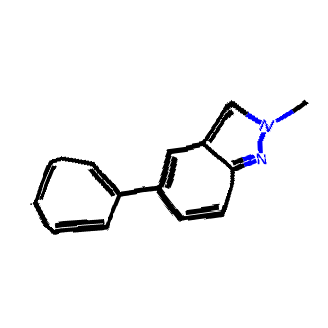 Cn1cc2cc(-c3cc[c]cc3)ccc2n1